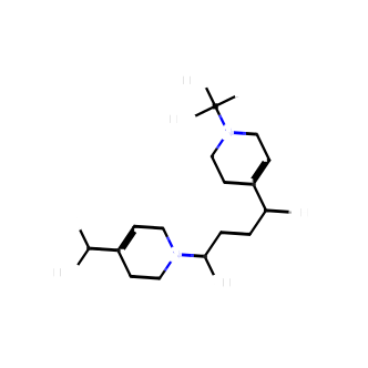 CC(C)C1=CCN(C(C)CCC(C)C2=CCN(C(C)(C)C)CC2)CC1